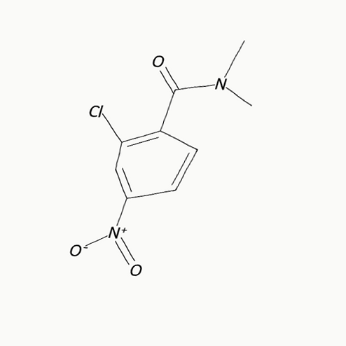 CN(C)C(=O)c1ccc([N+](=O)[O-])cc1Cl